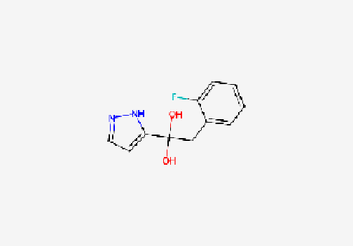 OC(O)(Cc1ccccc1F)c1ccn[nH]1